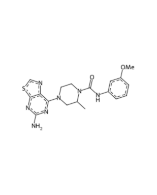 COc1cccc(NC(=O)N2CCN(c3nc(N)nc4scnc34)CC2C)c1